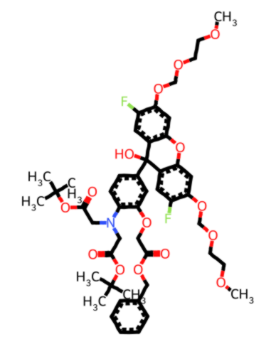 COCCOCOc1cc2c(cc1F)C(O)(c1ccc(N(CC(=O)OC(C)(C)C)CC(=O)OC(C)(C)C)c(OCC(=O)OCc3ccccc3)c1)c1cc(F)c(OCOCCOC)cc1O2